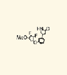 COC1CC(Oc2cccc(C3CNC(=O)C3)c2)C(F)C1F